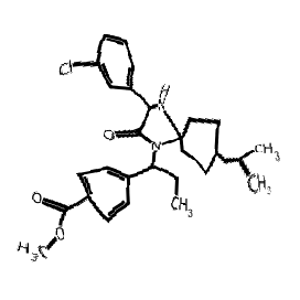 CCC(c1ccc(C(=O)OC)cc1)N1C(=O)C(c2cccc(Cl)c2)NC12CCC(C(C)C)CC2